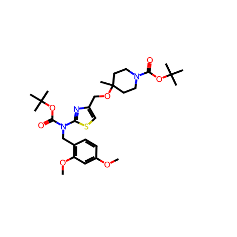 COc1ccc(CN(C(=O)OC(C)(C)C)c2nc(COC3(C)CCN(C(=O)OC(C)(C)C)CC3)cs2)c(OC)c1